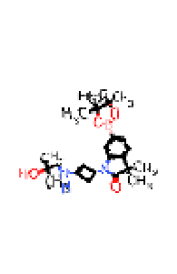 CC(C)(O)CN[C@H]1C[C@@H](N2C(=O)C(C)(C)c3ccc(B4OC(C)(C)C(C)(C)O4)cc32)C1